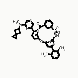 Cc1cccc(C)c1-c1cc2nc(n1)NS(=O)(=O)c1cccc(c1)C(=O)N1C(c3cncc(N(C)C4CC5(CC5)C4)n3)CCC(O2)C1C(C)C